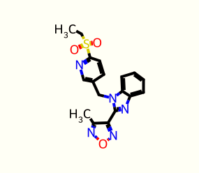 CCS(=O)(=O)c1ccc(Cn2c(-c3nonc3C)nc3ccccc32)cn1